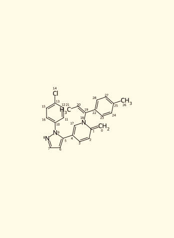 C=C1C=CC(c2ccnn2-c2ccc(Cl)cc2)=CN1/C(=C\C)c1ccc(C)cc1